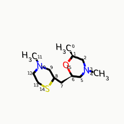 C[C@H]1CN(C)C[C@@H](CC2CN(C)CCS2)O1